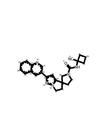 N#CC1(NC(=O)N2CCC3(CCn4nc(-c5cnc6ccccc6c5)cc43)C2)CCC1